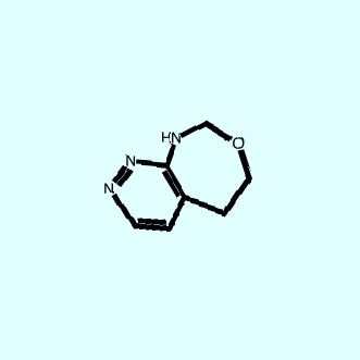 c1cc2c(nn1)NCOCC2